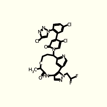 CC1CCCC(n2cc(Cl)c(-c3cc(Cl)ccc3-n3cc(Cl)nn3)cc2=O)c2cc(ccn2)-c2c(cnn2CC(F)F)NC1=O